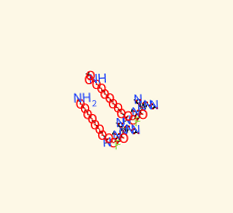 Cc1ccc(N2CCC[C@H](N(Cc3ccnc(C)c3)Cc3cn(C4CC4)c4cc(OCCN(C)C(=O)CCOCCOCCOCCOCCOCCOCCOCCN)c(F)cc4c3=O)C2)cn1.Cc1ccc(N2CCC[C@H](N(Cc3ccnc(C)c3)Cc3cn(C4CC4)c4cc(OCCN(C)C(=O)CCOCCOCCOCCOCCOCCOCCOCCNC(=O)OC(C)(C)C)c(F)cc4c3=O)C2)cn1